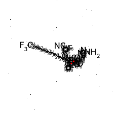 CC1(C)O[C@H]2[C@H](c3ccc4c(N)ncnn34)O[C@](C#N)(COP(=O)(OC[C@H](CCCCCCCCCCCCCCCCC(F)(F)F)OCc3cc(F)cc(C#N)c3)Oc3ccccc3Cl)[C@H]2O1